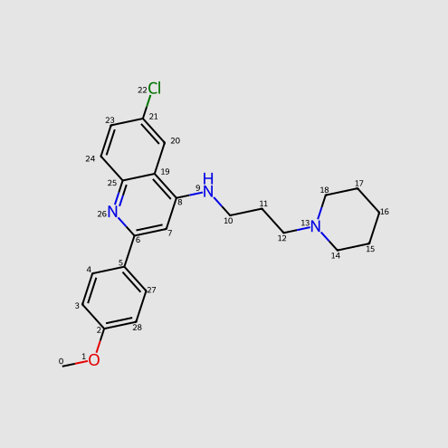 COc1ccc(-c2cc(NCCCN3CCCCC3)c3cc(Cl)ccc3n2)cc1